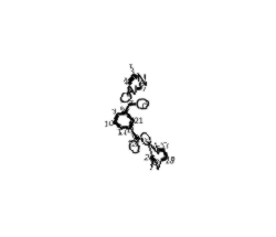 O=C(On1ccnc1)c1cccc(C(=O)On2ccnc2)c1